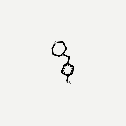 Nc1ccc(CN2CCCOCC2)cc1